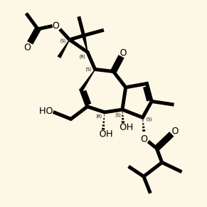 CC(=O)O[C@@]1(C)[C@H]([C@@H]2C=C(CO)[C@@H](O)[C@@]3(O)C(C=C(C)[C@@H]3OC(=O)C(C)C(C)C)C2=O)C1(C)C